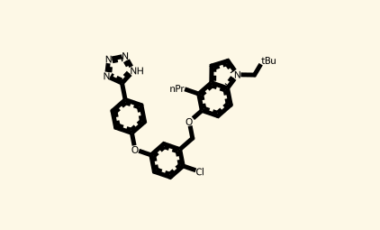 CCCc1c(OCc2cc(Oc3ccc(-c4nnn[nH]4)cc3)ccc2Cl)ccc2c1ccn2CC(C)(C)C